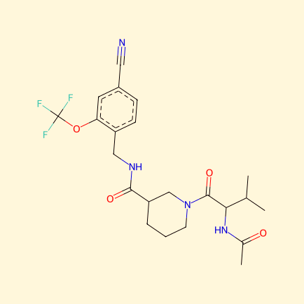 CC(=O)NC(C(=O)N1CCCC(C(=O)NCc2ccc(C#N)cc2OC(F)(F)F)C1)C(C)C